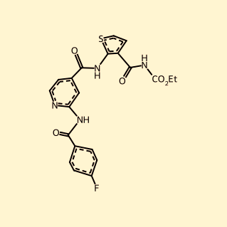 CCOC(=O)NC(=O)c1ccsc1NC(=O)c1ccnc(NC(=O)c2ccc(F)cc2)c1